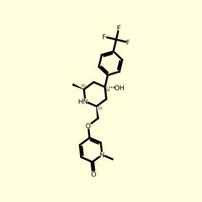 C[C@H]1C[C@@](O)(c2ccc(C(F)(F)F)cc2)C[C@@H](COc2ccc(=O)n(C)c2)N1